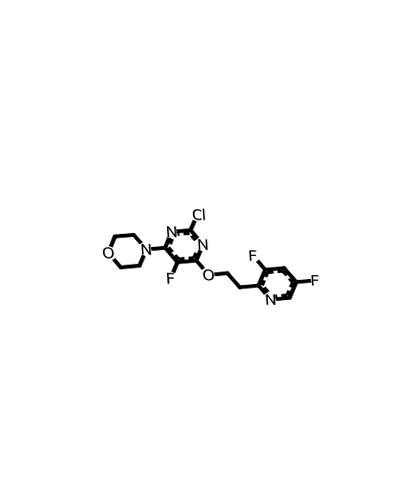 Fc1cnc(CCOc2nc(Cl)nc(N3CCOCC3)c2F)c(F)c1